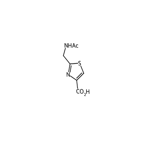 CC(=O)NCc1nc(C(=O)O)cs1